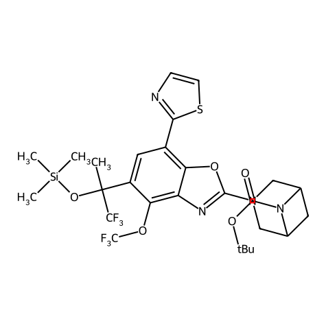 CC(C)(C)OC(=O)N1C2CC1CN(c1nc3c(OC(F)(F)F)c(C(C)(O[Si](C)(C)C)C(F)(F)F)cc(-c4nccs4)c3o1)C2